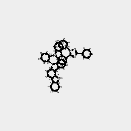 c1ccc(-c2nc(-c3cccc4c3c3ccccc3n4-c3ccccc3-n3c4ccccc4c4c5sc6ccccc6c5ccc43)n(-c3ccccc3)n2)cc1